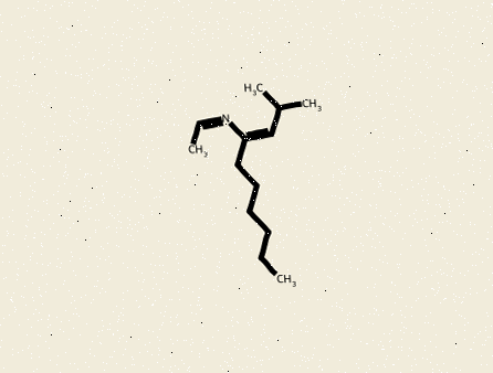 C/C=N\C(=C/C(C)C)CCCCCC